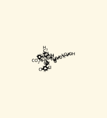 Cc1nc(NCCNC(=O)OCCOCCOCCO)c(NCc2ccc(-c3cc(Cl)ccc3Cl)o2)c(Nc2ccccc2C(=O)O)n1